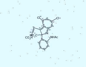 CC(=O)Nc1ccccc1C1(C(=O)O)N=c2cc(Cl)cc(Cl)c2=C1/C=C\C(=O)O